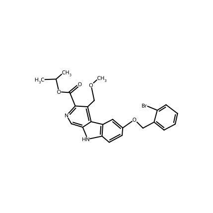 COCc1c(C(=O)OC(C)C)ncc2[nH]c3ccc(OCc4ccccc4Br)cc3c12